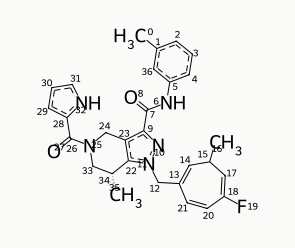 Cc1cccc(NC(=O)c2nn(CC3=CC(C)C=C(F)C=C3)c3c2CN(C(=O)c2ccc[nH]2)C[C@H]3C)c1